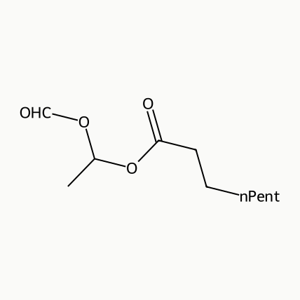 CCCCCCCC(=O)OC(C)OC=O